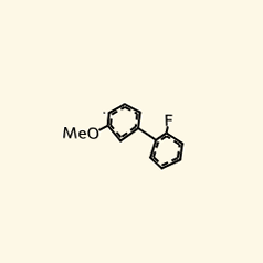 COc1[c]ccc(-c2ccccc2F)c1